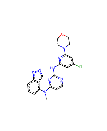 CN(c1ccnc(Nc2cc(Cl)cc(N3CCOCC3)n2)n1)c1cccc2[nH]ncc12